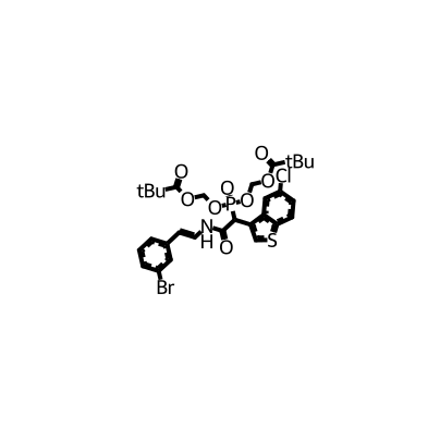 CC(C)(C)C(=O)OCOP(=O)(OCOC(=O)C(C)(C)C)C(C(=O)NC=Cc1cccc(Br)c1)c1csc2ccc(Cl)cc12